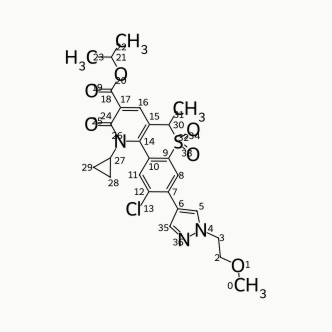 COCCn1cc(-c2cc3c(cc2Cl)-c2c(cc(C(=O)OC(C)C)c(=O)n2C2CC2)C(C)S3(=O)=O)cn1